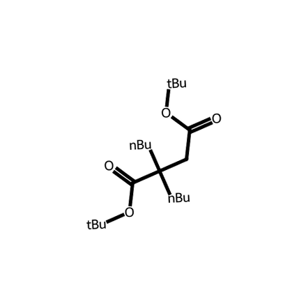 CCCCC(CCCC)(CC(=O)OC(C)(C)C)C(=O)OC(C)(C)C